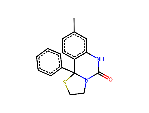 Cc1ccc2c(c1)NC(=O)N1CCSC21c1ccccc1